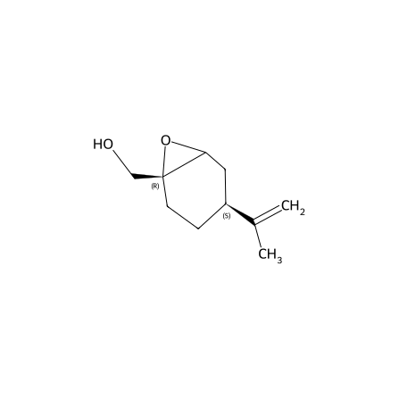 C=C(C)[C@H]1CC[C@]2(CO)OC2C1